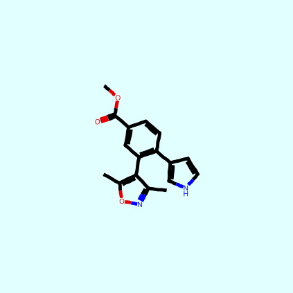 COC(=O)c1ccc(-c2cc[nH]c2)c(-c2c(C)noc2C)c1